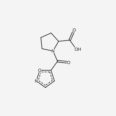 O=C(O)C1CCCN1C(=O)c1ccno1